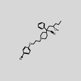 CCCC(CC(C#N)(c1ccccc1)C1CCN(CCCOc2ccc(C#N)cc2)CC1)OC